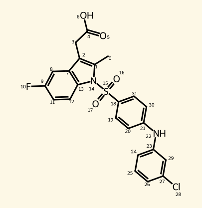 Cc1c(CC(=O)O)c2cc(F)ccc2n1S(=O)(=O)c1ccc(Nc2cccc(Cl)c2)cc1